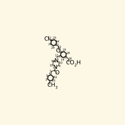 Cc1ccc(CC(=O)N2CCN(Cc3cc(CC(=O)O)ccc3OCc3ccc(Cl)cc3)CC2)cc1